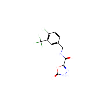 O=C(NCc1ccc(Cl)c(C(F)(F)F)c1)c1n[nH]c(=O)o1